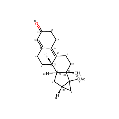 CC(=O)OC12C[C@@H]1C[C@H]1[C@@H]3CCC4=CC(=O)CCC4=C3CC[C@@]12C